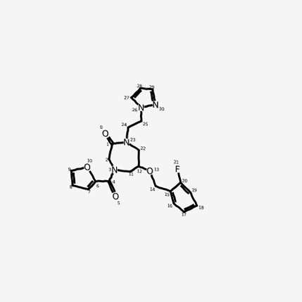 O=C1CN(C(=O)c2ccco2)CC(OCc2ccccc2F)CN1CCn1cccn1